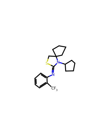 FC(F)(F)c1ccccc1N=C1SCC2(CCCC2)N1C1CCCC1